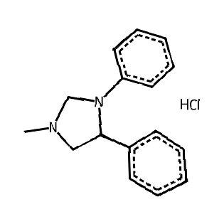 CN1CC(c2ccccc2)N(c2ccccc2)C1.Cl